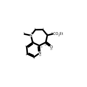 CCOC(=O)C1CCN(C)c2cccnc2C1=O